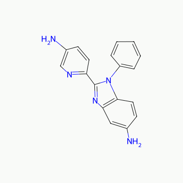 Nc1ccc(-c2nc3cc(N)ccc3n2-c2ccccc2)nc1